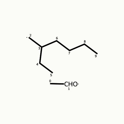 C[C]=O.[CH2]C(CC)CCCC